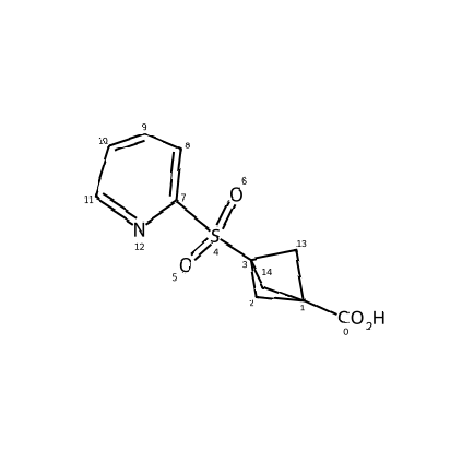 O=C(O)C12CC(S(=O)(=O)c3ccccn3)(C1)C2